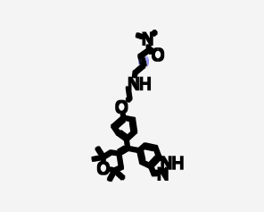 CN(C)C(=O)/C=C/CNCCOc1ccc(C(=C2CC(C)(C)OC(C)(C)C2)c2ccc3[nH]ncc3c2)cc1